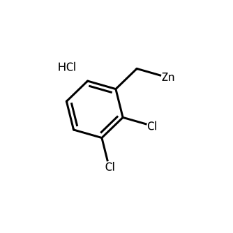 Cl.Clc1cccc([CH2][Zn])c1Cl